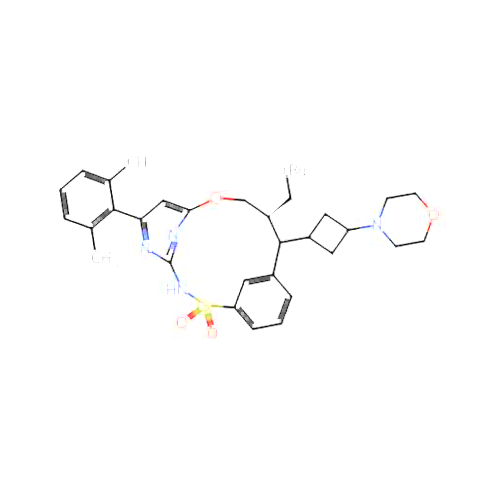 Cc1cccc(C)c1-c1cc2nc(n1)NS(=O)(=O)c1cccc(c1)C(C1CC(N3CCOCC3)C1)[C@H](CC(C)(C)C)CO2